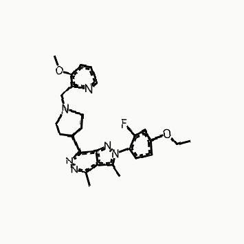 CCOc1ccc(-n2nc3c(C4CCN(Cc5ncccc5OC)CC4)nnc(C)c3c2C)c(F)c1